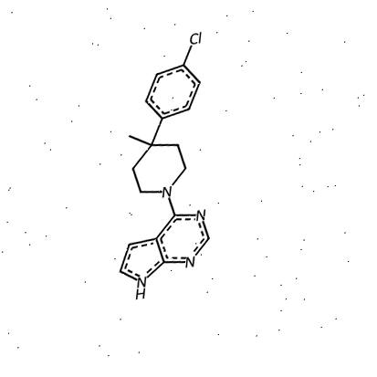 CC1(c2ccc(Cl)cc2)CCN(c2ncnc3[nH]ccc23)CC1